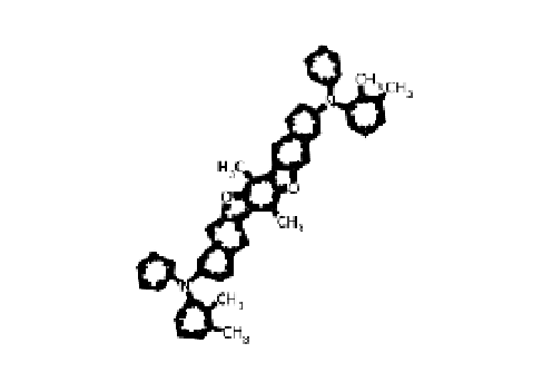 Cc1cccc(N(c2ccccc2)c2ccc3cc4c(cc3c2)oc2c(C)c3c(oc5cc6cc(N(c7ccccc7)c7cccc(C)c7C)ccc6cc53)c(C)c24)c1C